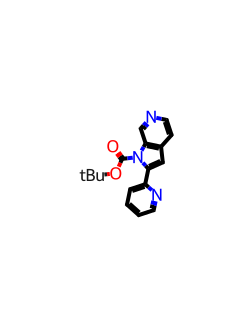 CC(C)(C)OC(=O)n1c(-c2ccccn2)cc2ccncc21